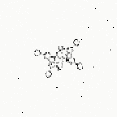 CC1(n2c3ccc(-c4ccccc4)cc3c3cc(-c4ccccc4)ccc32)C=C(C#N)C=C(n2c3ccc(-c4ccccc4)cc3c3cc(-c4ccccc4)ccc32)C1c1ccncc1